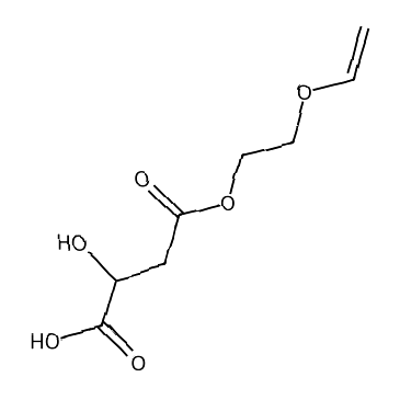 C=COCCOC(=O)CC(O)C(=O)O